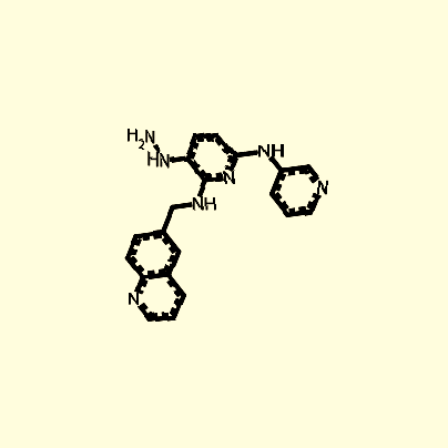 NNc1ccc(Nc2cccnc2)nc1NCc1ccc2ncccc2c1